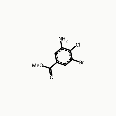 COC(=O)c1cc(N)c(Cl)c(Br)c1